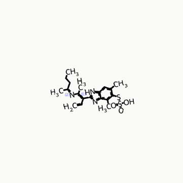 C=C/C(=C(C)\N=C(\C)CCC)c1nc2c(C)c(SS(=O)(=O)O)c(C)cc2[nH]1